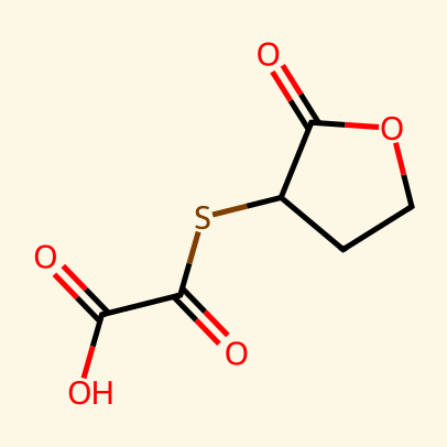 O=C(O)C(=O)SC1CCOC1=O